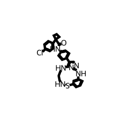 O=C(Nc1ccc(-c2cnc3nc2NCCCNSc2cccc(c2)N3)cc1)C1(c2ccc(Cl)cc2)CCC1